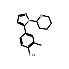 O=Cc1ccc(-c2ccnn2C2CCCCO2)cc1F